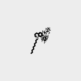 CCCCCCCCCCN1CCCc2cc(/N=N/c3nncs3)c(NS(=O)(=O)C(F)(F)F)cc21